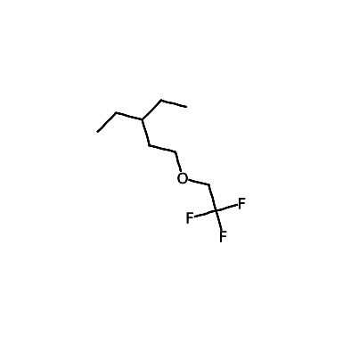 CCC(CC)CCOCC(F)(F)F